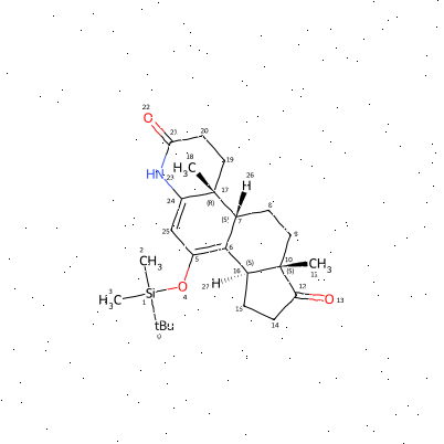 CC(C)(C)[Si](C)(C)OC1=C2[C@@H](CC[C@]3(C)C(=O)CC[C@@H]23)[C@@]2(C)CCC(=O)NC2=C1